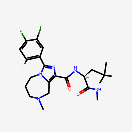 CNC(=O)[C@H](CC(C)(C)C)NC(=O)c1nc(-c2cc(F)c(F)cc2F)n2c1CN(C)CCC2